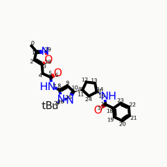 Cc1cc(CC(=O)Nc2cc([C@@H]3CC[C@H](NC(=O)c4ccccc4)C3)nn2C(C)(C)C)on1